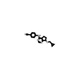 N#Cc1ccc(Nc2ncnc3c2CCC3OCC2CC2)cc1